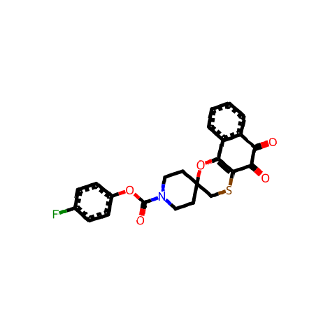 O=C1C(=O)c2ccccc2C2=C1SCC1(CCN(C(=O)Oc3ccc(F)cc3)CC1)O2